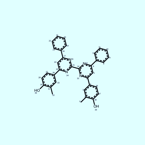 Cc1cc(-c2cc(-c3ccccc3)nc(-c3nc(-c4ccccc4)cc(-c4ccc(O)c(C)c4)n3)n2)ccc1O